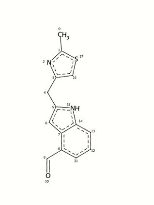 Cc1nc(Cc2cc3c(C=O)cccc3[nH]2)cs1